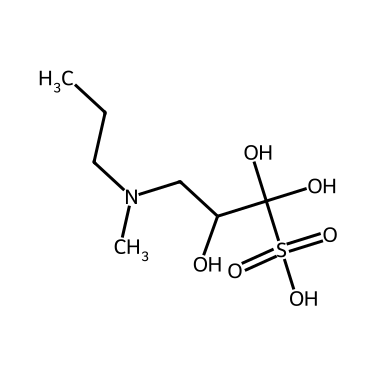 CCCN(C)CC(O)C(O)(O)S(=O)(=O)O